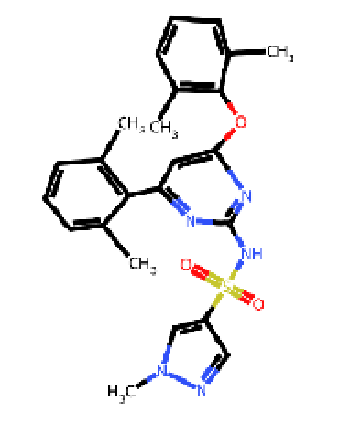 Cc1cccc(C)c1Oc1cc(-c2c(C)cccc2C)nc(NS(=O)(=O)c2cnn(C)c2)n1